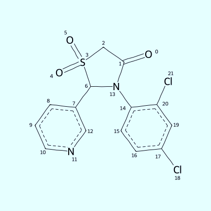 O=C1CS(=O)(=O)C(c2cccnc2)N1c1ccc(Cl)cc1Cl